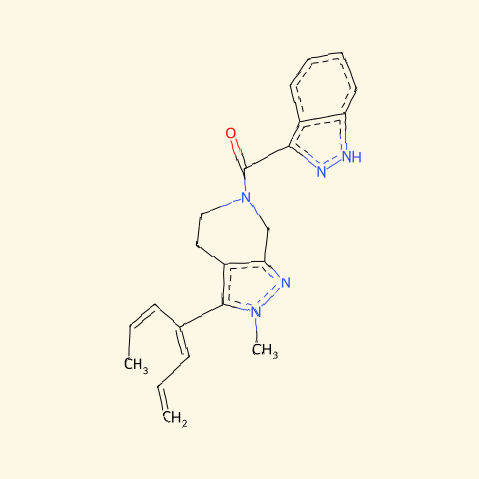 C=C/C=C(\C=C/C)c1c2c(nn1C)CN(C(=O)c1n[nH]c3ccccc13)CC2